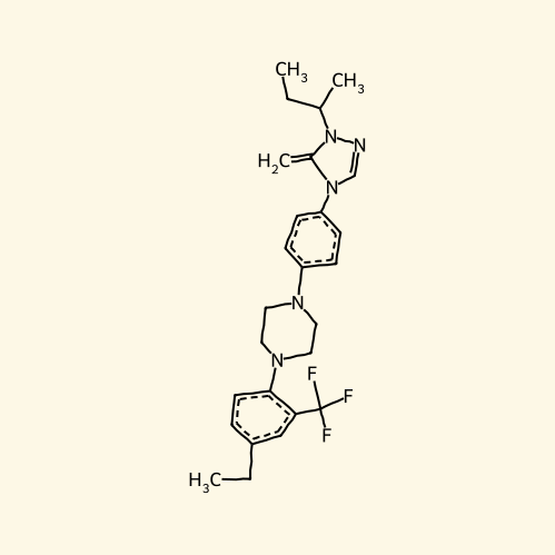 C=C1N(c2ccc(N3CCN(c4ccc(CC)cc4C(F)(F)F)CC3)cc2)C=NN1C(C)CC